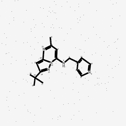 Cc1cc(NCc2ccncc2)n2nc(C(C)(C)C)cc2n1